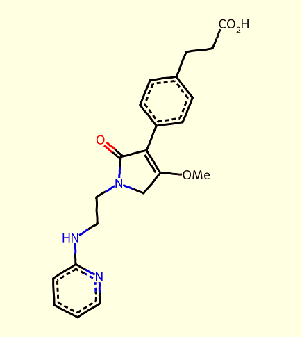 COC1=C(c2ccc(CCC(=O)O)cc2)C(=O)N(CCNc2ccccn2)C1